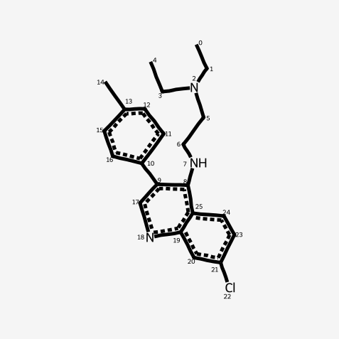 CCN(CC)CCNc1c(-c2ccc(C)cc2)cnc2cc(Cl)ccc12